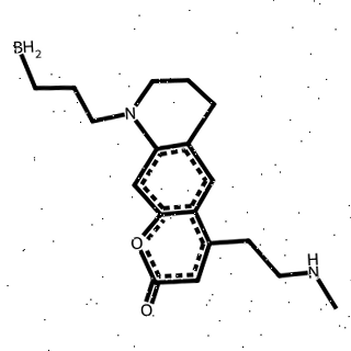 BCCCN1CCCc2cc3c(CCNC)cc(=O)oc3cc21